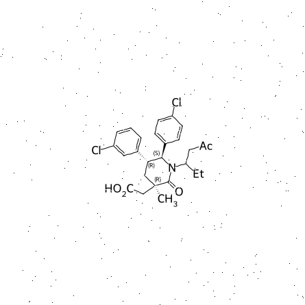 CCC(CC(C)=O)N1C(=O)[C@@](C)(CC(=O)O)C[C@H](c2cccc(Cl)c2)[C@H]1c1ccc(Cl)cc1